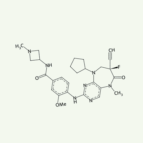 C#C[C@@]1(F)CN(C2CCCC2)c2nc(Nc3ccc(C(=O)NC4CN(C)C4)cc3OC)ncc2N(C)C1=O